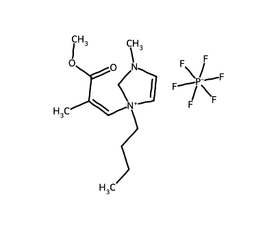 CCCC[N+]1(C=C(C)C(=O)OC)C=CN(C)C1.F[P-](F)(F)(F)(F)F